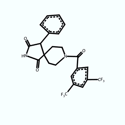 O=C1NC(=O)C2(CCN(C(=O)c3cc(C(F)(F)F)cc(C(F)(F)F)c3)CC2)C1c1ccccc1